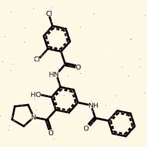 O=C(Nc1cc(NC(=O)c2ccc(Cl)cc2Cl)c(O)c(C(=O)N2CCCC2)c1)c1ccccc1